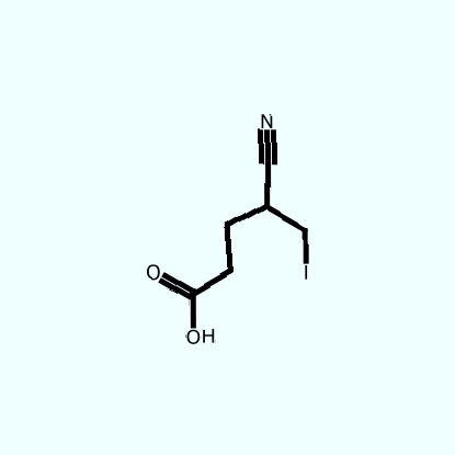 N#CC(CI)CCC(=O)O